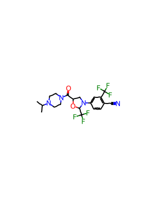 CC(C)N1CCN(C(=O)C2CN(c3ccc(C#N)c(C(F)(F)F)c3)C(C(F)(F)F)O2)CC1